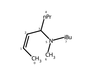 C/C=C\C(CCC)N(C)C(C)CC